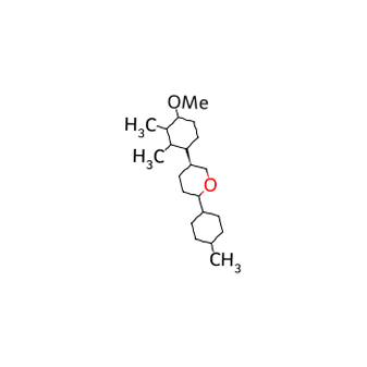 COC1CCC([C@@H]2CCC(C3CCC(C)CC3)OC2)C(C)C1C